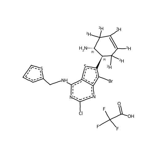 O=C(O)C(F)(F)F.[2H]C1=C([2H])C([2H])([2H])[C@@H](c2sc3c(NCc4cccs4)nc(Cl)nc3c2Br)[C@H](N)C1([2H])[2H]